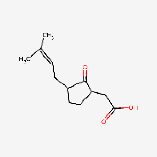 CC(C)=CCC1CCC(CC(=O)O)C1=O